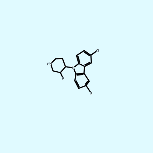 Fc1ccc2c(c1)c1cc(Cl)ccc1n2C1CCNCC1F